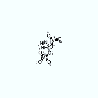 [NH4+].[NH4+].[NH4+].[O]=[Mo](=[O])([O-])[O-].[O]=[V](=[O])[O-]